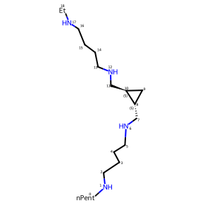 CCCCCNCCCCNC[C@H]1C[C@@H]1CNCCCCNCC